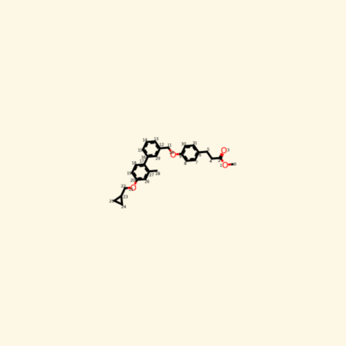 COC(=O)CCc1ccc(OCc2cccc(-c3ccc(OCC4CC4)cc3C)c2)cc1